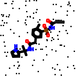 CNC(=O)NS(=O)(=O)c1cc(CC(=O)NC(C)(C)c2ccc[nH]2)ccc1C